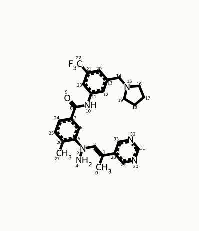 C/C(=C\N(N)c1cc(C(=O)Nc2cc(CN3CCCC3)cc(C(F)(F)F)c2)ccc1C)c1cncnc1